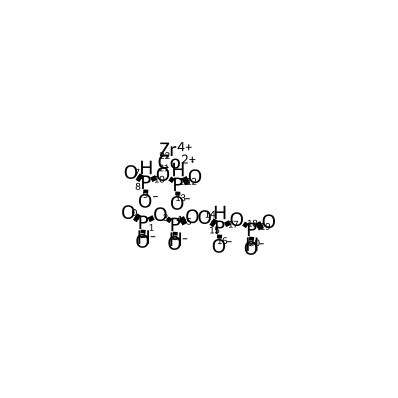 O=[PH]([O-])O[PH](=O)[O-].O=[PH]([O-])O[PH](=O)[O-].O=[PH]([O-])O[PH](=O)[O-].[Co+2].[Zr+4]